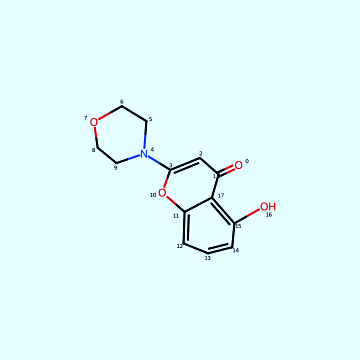 O=c1cc(N2CCOCC2)oc2cccc(O)c12